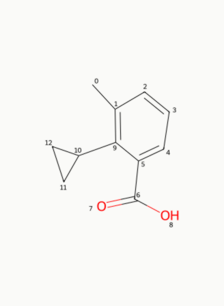 Cc1cccc(C(=O)O)c1C1CC1